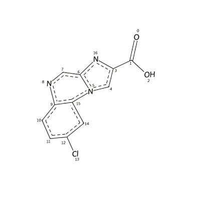 O=C(O)c1cn2c(cnc3ccc(Cl)cc32)n1